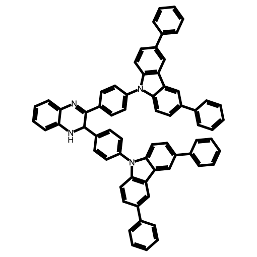 c1ccc(-c2ccc3c(c2)c2cc(-c4ccccc4)ccc2n3-c2ccc(C3=Nc4ccccc4NC3c3ccc(-n4c5ccc(-c6ccccc6)cc5c5cc(-c6ccccc6)ccc54)cc3)cc2)cc1